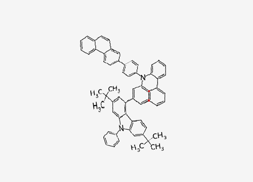 CC(C)(C)c1ccc2c3c(-c4cccc(N(c5ccc(-c6ccc7c(ccc8ccccc87)c6)cc5)c5ccccc5-c5ccccc5)c4)cc(C(C)(C)C)cc3n(-c3ccccc3)c2c1